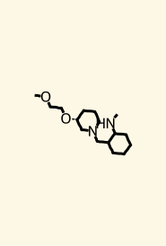 CNC1CCCCC1CN1CCC[C@@H](OCCOC)C1